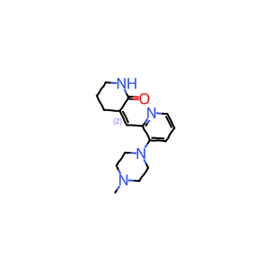 CN1CCN(c2cccnc2/C=C2/CCCNC2=O)CC1